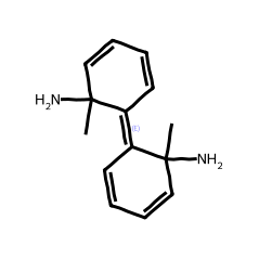 CC1(N)C=CC=C/C1=C1/C=CC=CC1(C)N